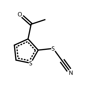 CC(=O)c1ccsc1SC#N